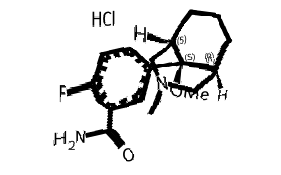 CO[C@]1(c2ccc(F)c(C(N)=O)c2)[C@@H]2CCC[C@H]1CN(C)C2.Cl